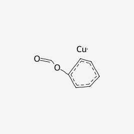 O=COc1ccccc1.[Cu]